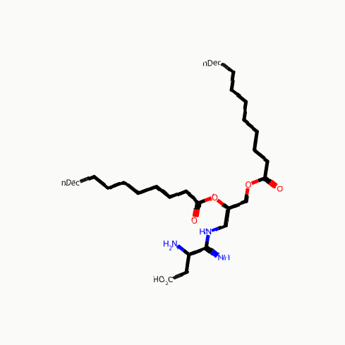 CCCCCCCCCCCCCCCCCC(=O)OCC(CNC(=N)C(N)CC(=O)O)OC(=O)CCCCCCCCCCCCCCCCC